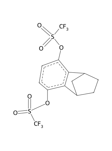 O=S(=O)(Oc1ccc(OS(=O)(=O)C(F)(F)F)c2c1C1CCC2C1)C(F)(F)F